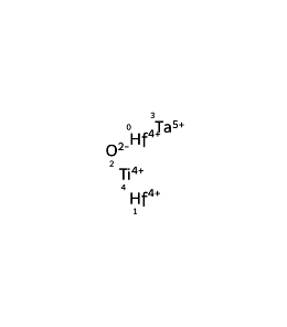 [Hf+4].[Hf+4].[O-2].[Ta+5].[Ti+4]